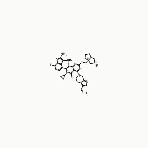 C=Cc1cnc2n1CCN(c1nc(OC[C@@]34CCCN3C[C@H](F)C4)nc3c(F)c(-c4ccc(F)c5sc(N)c(C#N)c45)n(C4CC4)c(=O)c13)C2